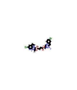 CC(N)(Cn1ccc2cc(Br)ccc21)OC(=O)/C=C/C(=O)OC(C)(N)Cn1ccc2cc(Br)ccc21